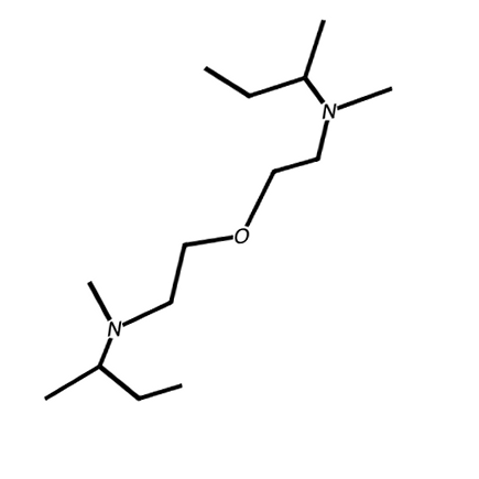 CCC(C)N(C)CCOCCN(C)C(C)CC